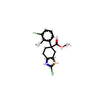 COC(=O)C1(c2cccc(F)c2C)CCc2nc(Br)sc2C1